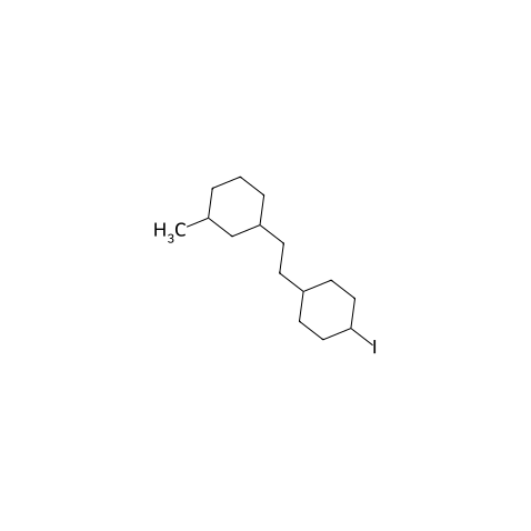 CC1CCCC(CCC2CCC(I)CC2)C1